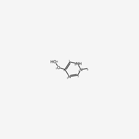 CN1[C]=NC(OO)=CN1